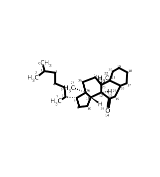 CC(C)CCCC(C)[C@H]1CC[C@H]2[C@@H]3C(=O)CC4CCCC[C@]4(C)[C@H]3CC[C@]12C